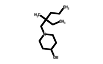 CCCC(C)(CC)CN1CCC(O)CC1